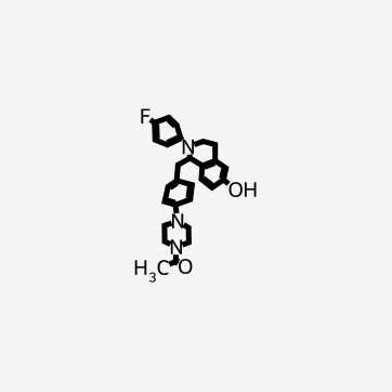 CC(=O)N1CCN(c2ccc(CC3c4ccc(O)cc4CCN3c3ccc(F)cc3)cc2)CC1